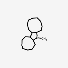 CN1C2CCCCCCCCC2C2CCCCCCCC21